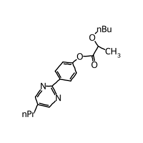 CCCCOC(C)C(=O)Oc1ccc(-c2ncc(CCC)cn2)cc1